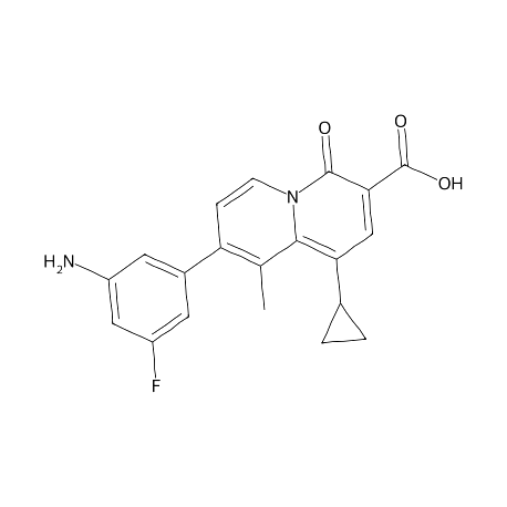 Cc1c(-c2cc(N)cc(F)c2)ccn2c(=O)c(C(=O)O)cc(C3CC3)c12